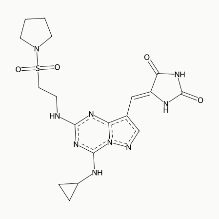 O=C1NC(=O)/C(=C/c2cnn3c(NC4CC4)nc(NCCS(=O)(=O)N4CCCC4)nc23)N1